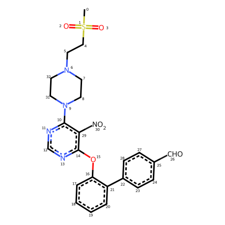 CS(=O)(=O)CCN1CCN(c2ncnc(Oc3ccccc3-c3ccc(C=O)cc3)c2[N+](=O)[O-])CC1